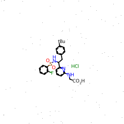 CC(C)(C)c1ccc(CC(NS(=O)(=O)c2ccccc2F)c2cccc(NCC(=O)O)n2)cc1.Cl